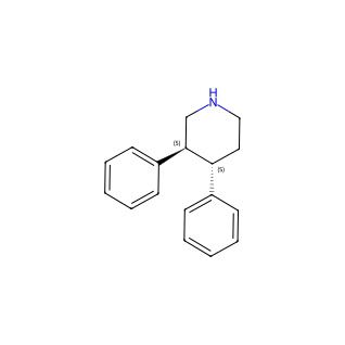 c1ccc([C@H]2CCNC[C@@H]2c2ccccc2)cc1